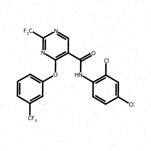 O=C(Nc1ccc(Cl)cc1Cl)c1cnc(C(F)(F)F)nc1Oc1cccc(C(F)(F)F)c1